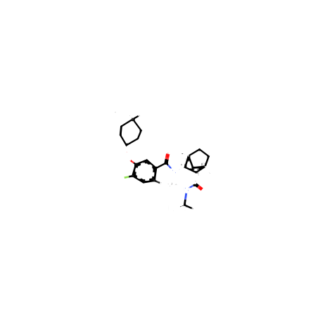 COc1cc(F)c(O[C@H]2CC[C@@](C)(C(=O)O)CC2)cc1C(=O)N[C@@H]1[C@H]2CC[C@H](C2)[C@@H]1C(=O)N[C@@H](C)C(F)(F)F